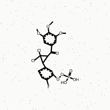 COc1cc(C(=O)C2C(c3ccc(F)c(OOP(=O)(O)O)c3)C2(Cl)Cl)cc(OC)c1OC